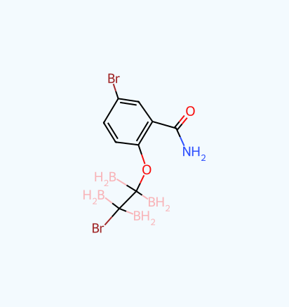 BC(B)(Br)C(B)(B)Oc1ccc(Br)cc1C(N)=O